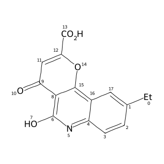 CCc1ccc2nc(O)c3c(=O)cc(C(=O)O)oc3c2c1